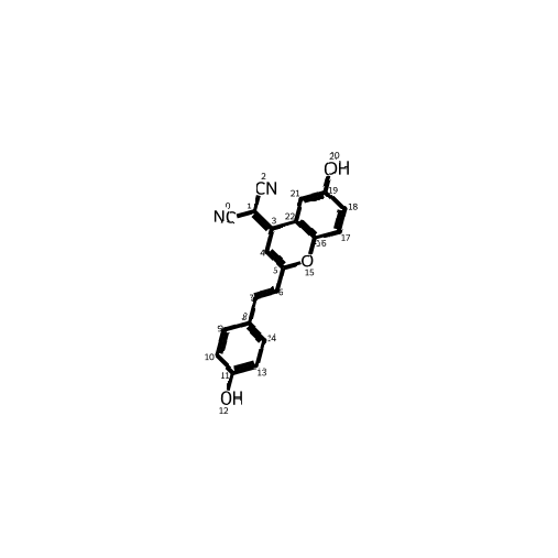 N#CC(C#N)=C1C=C(C=Cc2ccc(O)cc2)Oc2ccc(O)cc21